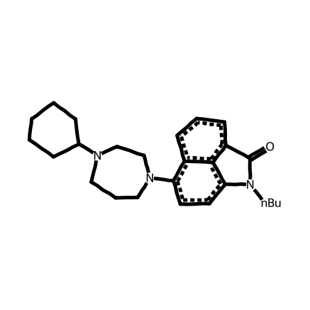 CCCCN1C(=O)c2cccc3c(N4CCCN(C5CCCCC5)CC4)ccc1c23